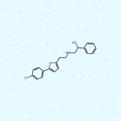 OC(CNCCc1ccc(-c2ccc(Cl)cc2)o1)c1ccccc1